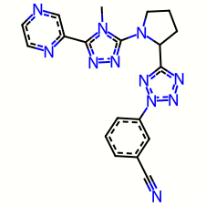 Cn1c(-c2cnccn2)nnc1N1CCCC1c1nnn(-c2cccc(C#N)c2)n1